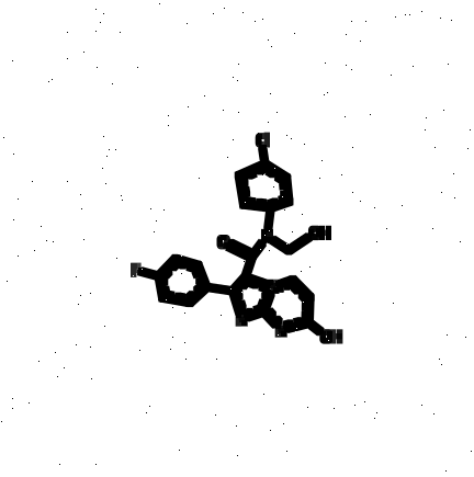 O=C(c1c(-c2ccc(F)cc2)nc2nc(O)ccn12)N(CO)c1ccc(Cl)cc1